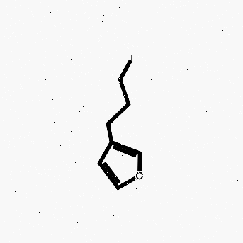 ICCCc1ccoc1